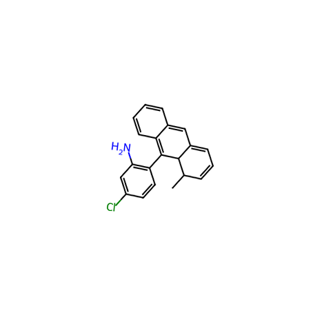 CC1C=CC=C2C=c3ccccc3=C(c3ccc(Cl)cc3N)C21